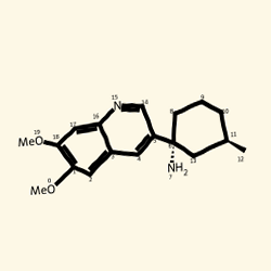 COc1cc2cc([C@@]3(N)CCC[C@@H](C)C3)cnc2cc1OC